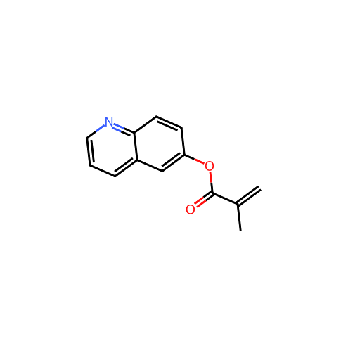 C=C(C)C(=O)Oc1ccc2ncccc2c1